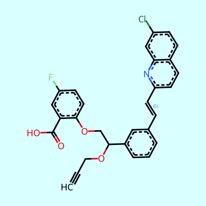 C#CCOC(COc1ccc(F)cc1C(=O)O)c1cccc(/C=C/c2ccc3ccc(Cl)cc3n2)c1